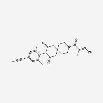 CC#Cc1cc(C)c(C2C(=O)CC3(CCN(C(=O)/C(C)=N/O)CC3)CC2=O)c(C)c1